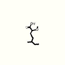 CCC(C)CCC(OC)C(=O)O